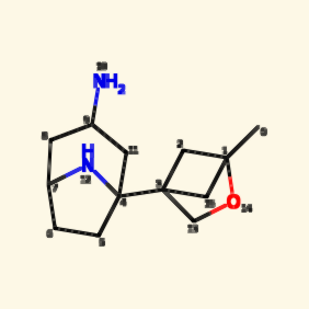 CC12CC(C34CCC(CC(N)C3)N4)(CO1)C2